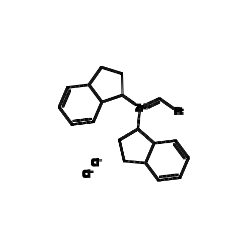 CC[CH]=[Zr+2]([CH]1CCC2C=CC=CC21)[CH]1CCC2C=CC=CC21.[Cl-].[Cl-]